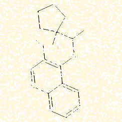 CCC(Nc1c([N+](=O)[O-])cnc2ccccc12)C1(O)CCCC1